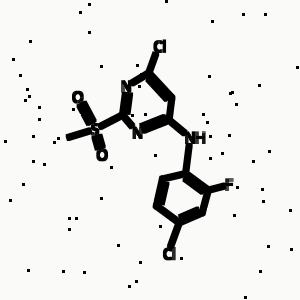 CS(=O)(=O)c1nc(Cl)cc(Nc2ccc(Cl)cc2F)n1